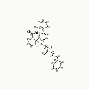 O=C(NCc1ccccc1-c1ccccc1C(=O)NCc1ccccc1)OCCc1ccccc1